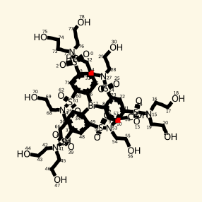 O=S(=O)(c1cc[c]([Bi]([c]2ccc(S(=O)(=O)N(CCO)CCO)cc2S(=O)(=O)N(CCO)CCO)[c]2ccc(S(=O)(=O)N(CCO)CCO)cc2S(=O)(=O)N(CCO)CCO)c(S(=O)(=O)N(CCO)CCO)c1)N(CCO)CCO